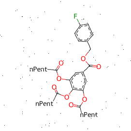 CCCCCC(=O)Oc1cc(C(=O)OCc2ccc(F)cc2)cc(OC(=O)CCCCC)c1OC(=O)CCCCC